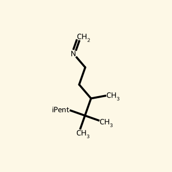 C=NCCC(C)C(C)(C)C(C)CCC